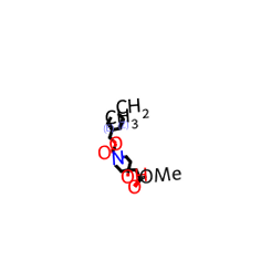 C=C/C=C\C(=C/C)COC(=O)N1CCC(O)(CC(=O)OC)CC1